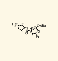 CC1CCC(OC(=O)[C@H](CCBr)NC(=O)OC(C)(C)C)C1